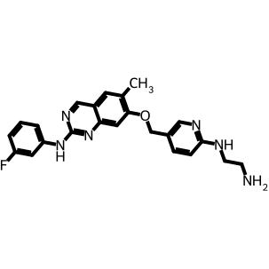 Cc1cc2cnc(Nc3cccc(F)c3)nc2cc1OCc1ccc(NCCN)nc1